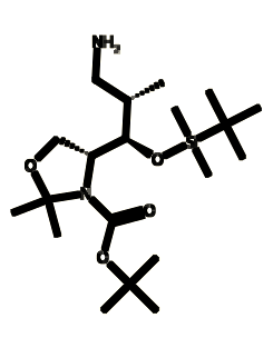 C[C@@H](CN)[C@@H](O[Si](C)(C)C(C)(C)C)[C@H]1COC(C)(C)N1C(=O)OC(C)(C)C